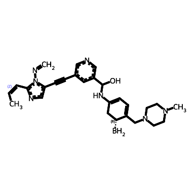 B[C@@H]1CC(NC(O)c2cncc(C#Cc3cnc(/C=C\C)n3N=C)c2)=CC=C1CN1CCN(C)CC1